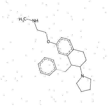 CNCCOc1ccc2c(c1)C(Cc1ccccc1)C(N1CCCC1)CC2